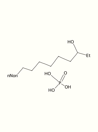 CCCCCCCCCCCCCCCC(O)CC.O=P(O)(O)O